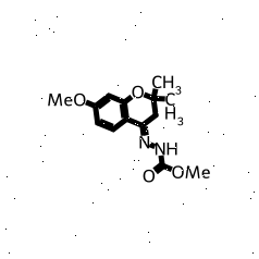 COC(=O)NN=C1CC(C)(C)Oc2cc(OC)ccc21